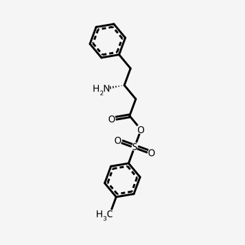 Cc1ccc(S(=O)(=O)OC(=O)C[C@H](N)Cc2ccccc2)cc1